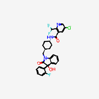 O=C(N[C@H]1CC[C@H](CN2C(=O)C(O)(c3ccccc3F)c3ccccc32)CC1)c1cc(Cl)cnc1C(F)F